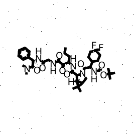 CCCC(NC(=O)C1[C@@H]2C(CN1C(=O)C(NC(=O)OC(C)(C)C)C1CCC(F)(F)CC1)C2(C)C)C(=O)C(=O)NCC(=O)N[C@H](C(=O)N(C)C)c1ccccc1